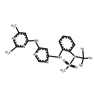 [2H]C([2H])([2H])N(c1ccccc1Nc1cc(Nc2cc(C)nc(C)n2)ncn1)S(C)(=O)=O